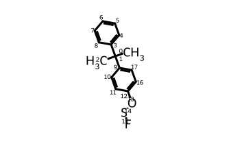 CC(C)(c1ccccc1)c1ccc(OSF)cc1